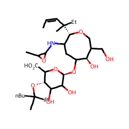 C/C=C\C(C)(CC)[C@@H]1OCC(CO)[C@@H](O)C(O[C@@H]2OC(C(=O)O)[C@@H](OC(C)(CCCC)C(C)C)C(O)C2O)CC1NC1OC1C